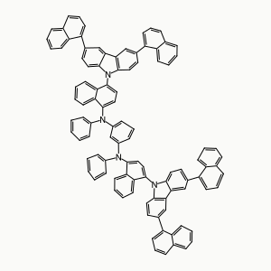 c1ccc(N(c2cccc(N(c3ccccc3)c3ccc(-n4c5ccc(-c6cccc7ccccc67)cc5c5cc(-c6cccc7ccccc67)ccc54)c4ccccc34)c2)c2ccc(-n3c4ccc(-c5cccc6ccccc56)cc4c4cc(-c5cccc6ccccc56)ccc43)c3ccccc23)cc1